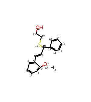 COc1c[c][c]cc1/C=C/C(SCCO)c1ccccc1